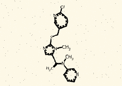 C=C(c1cnc(SCc2ccc(Cl)nc2)n1C)N(C)c1cccnc1